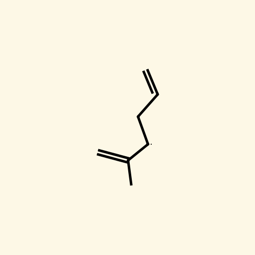 C=CC[CH]C(=C)C